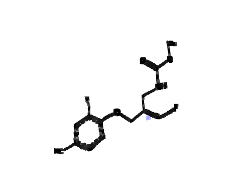 CC(C)(C)OC(=O)NC/C(=C\F)COc1ccc(C#N)cc1F